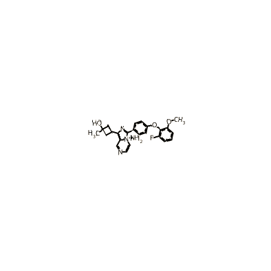 COc1cccc(F)c1Oc1ccc(C2=NC(C3CC(C)(O)C3)=C3C=NC=C[N+]23N)cc1